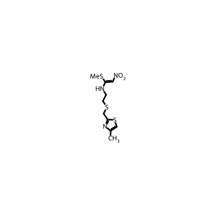 CSC(=C[N+](=O)[O-])NCCSCc1nc(C)cs1